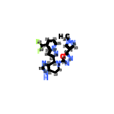 Cn1cc(-c2nnc(N3CCc4[nH]cnc4C3c3cc4c(C(F)F)cccn4n3)o2)cn1